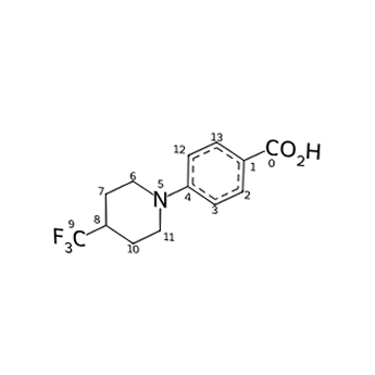 O=C(O)c1ccc(N2CCC(C(F)(F)F)CC2)cc1